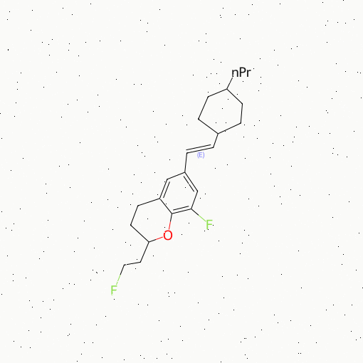 CCCC1CCC(/C=C/c2cc(F)c3c(c2)CCC(CCF)O3)CC1